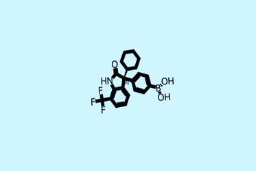 O=C1Nc2c(C(F)(F)F)cccc2[C@]1(c1ccc(B(O)O)cc1)C1CCCCC1